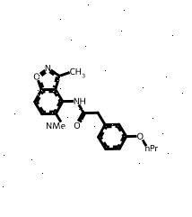 CCCOc1cccc(CC(=O)Nc2c(NC)ccc3onc(C)c23)c1